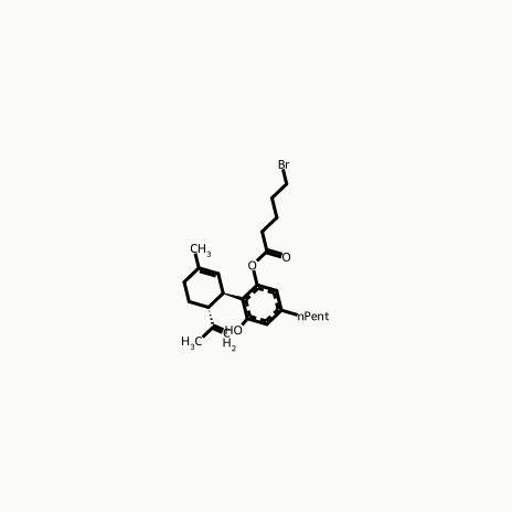 C=C(C)[C@@H]1CCC(C)=C[C@H]1c1c(O)cc(CCCCC)cc1OC(=O)CCCCBr